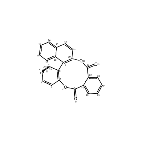 O=c1oc2ccc3c(c2c2c(ccc4ccccc42)oc(=O)c2ccccc12)=CCCC=3